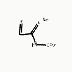 O=C([O-])NC(=S)C=S.[Na+]